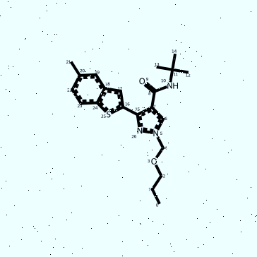 CCCOCn1cc(C(=O)NC(C)(C)C)c(-c2cc3cc(C)ccc3s2)n1